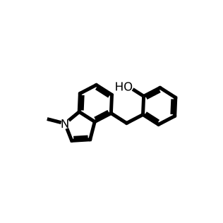 Cn1ccc2c(Cc3ccccc3O)cccc21